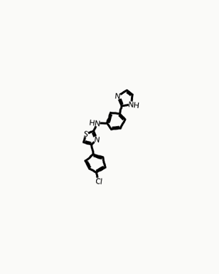 Clc1ccc(-c2csc(Nc3cccc(-c4ncc[nH]4)c3)n2)cc1